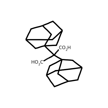 O=C(O)C(C(=O)O)(C12CC3CC(CC(C3)C1)C2)C12CC3CC(CC(C3)C1)C2